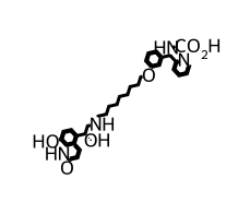 O=C(O)NC(c1cccc(OCCCCCCCCCNC[C@H](O)c2ccc(O)c3[nH]c(=O)ccc23)c1)c1ccccn1